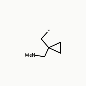 CNCC1(CF)CC1